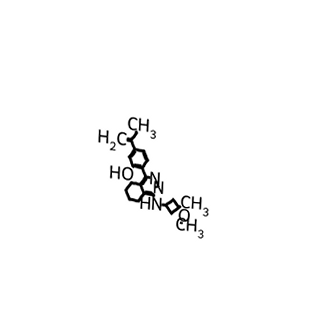 C=C(CC)c1ccc(-c2nnc(NC3CC(C)(OC)C3)c3c2CCCC3)c(O)c1